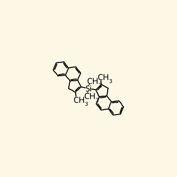 CC1=C([Si](C)(C)C2=C(C)Cc3c2ccc2ccccc32)c2ccc3ccccc3c2C1